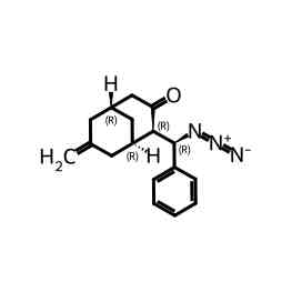 C=C1C[C@@H]2CC(=O)[C@@H]([C@@H](N=[N+]=[N-])c3ccccc3)[C@@H](C1)C2